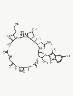 CC[C@H](C)[C@@H]1NC(=O)CNC(=O)CNC(=O)[C@H]([C@@H](C)[C@@H](O)CO)NC(=O)[C@@H]2C[C@@H](O)CN2C(O)[C@H](CC(N)=O)NC(=O)[C@H]([C@H](C)Sc2[nH]c3ccc(O)cc3c2C)NC(=O)CNC1=O